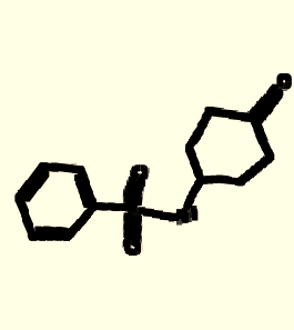 O=C1CCC(NS(=O)(=O)c2ccccc2)CC1